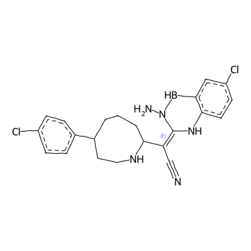 N#C/C(=C1\Nc2ccc(Cl)cc2BN1N)C1CCCC(c2ccc(Cl)cc2)CCN1